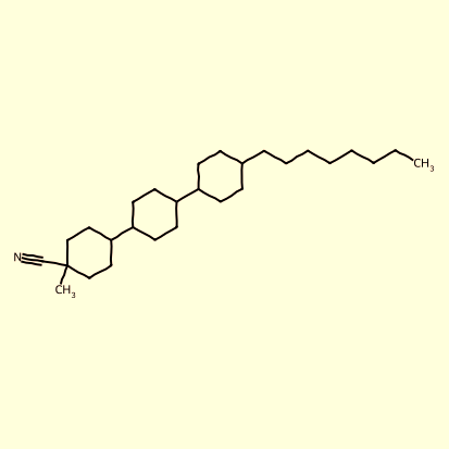 CCCCCCCCC1CCC(C2CCC(C3CCC(C)(C#N)CC3)CC2)CC1